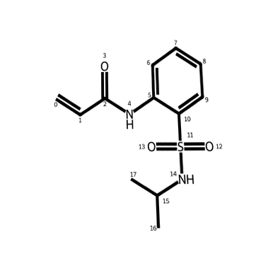 C=CC(=O)Nc1ccccc1S(=O)(=O)NC(C)C